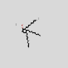 CCCCCCCCCc1ccc(CO[SiH3])c(CCCCCCCCC)c1CCCCCCCCC